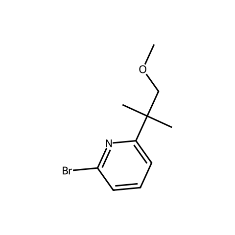 COCC(C)(C)c1cccc(Br)n1